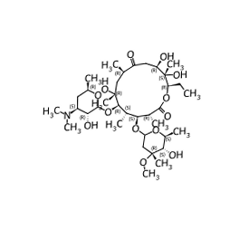 CC[C@H]1OC(=O)[C@H](C)[C@@H](OC2C[C@@](C)(OC)[C@@H](O)[C@H](C)O2)[C@H](C)[C@@H](OC2O[C@H](C)C[C@H](N(C)C)[C@H]2O)[C@](C)(O)C[C@@H](C)C(=O)C[C@@H](O)[C@]1(C)O